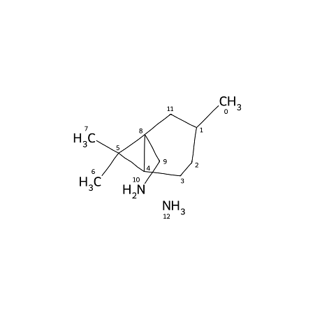 CC1CCC2C(C)(C)C2(CN)C1.N